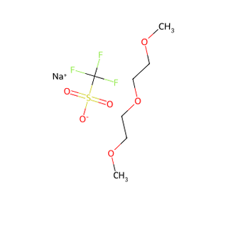 COCCOCCOC.O=S(=O)([O-])C(F)(F)F.[Na+]